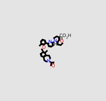 Cc1cccc(-c2cccc(N3CC[C@H](C(=O)O)[C@@H]4OCCC[C@H]43)n2)c1OCc1ccc2c(c1C)CCN(C1COC1)CC2